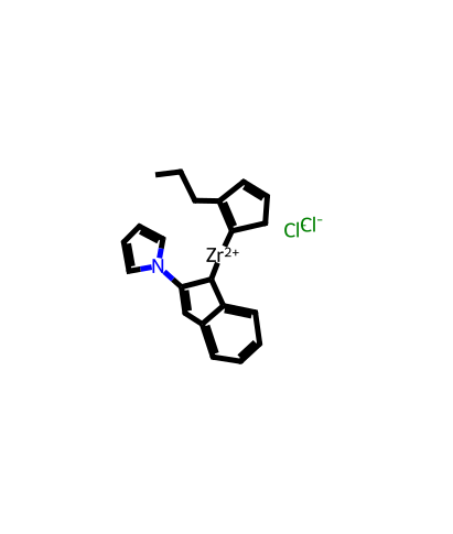 CCCC1=[C]([Zr+2][CH]2C(n3cccc3)=Cc3ccccc32)CC=C1.[Cl-].[Cl-]